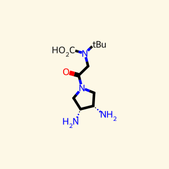 CC(C)(C)N(CC(=O)N1C[C@@H](N)[C@@H](N)C1)C(=O)O